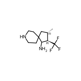 C[C@H]1CC2(CCNCC2)C(N)[C@@H]1C(F)(F)F